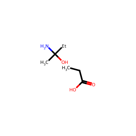 CCC(=O)O.CCC(C)(N)O